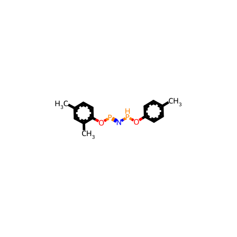 Cc1ccc(OPN=POc2ccc(C)cc2C)cc1